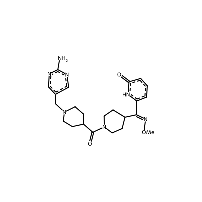 CON=C(c1cccc(=O)[nH]1)C1CCN(C(=O)C2CCN(Cc3cnc(N)nc3)CC2)CC1